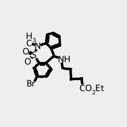 CCOC(=O)CCCCNC1c2ccccc2N(C)S(=O)(=O)c2cc(Br)ccc21